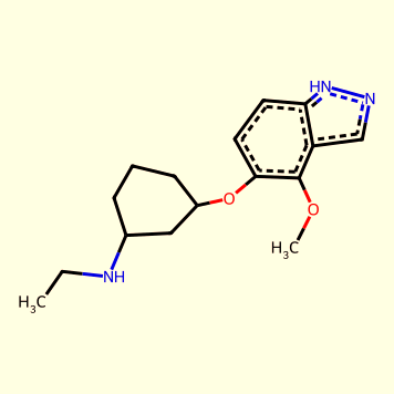 CCNC1CCCC(Oc2ccc3[nH]ncc3c2OC)C1